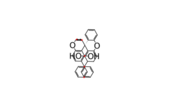 OC1=C2C(=CCC1c1ccccc1)Oc1ccccc1[C@]21c2ccccc2Oc2ccc(-c3ccccc3)c(O)c21